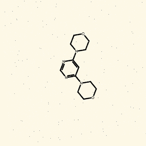 c1nc(N2CCOCC2)cc(N2CCOCC2)n1